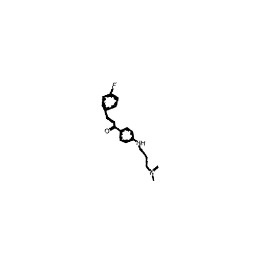 CN(C)CCCNc1ccc(C(=O)C=Cc2ccc(F)cc2)cc1